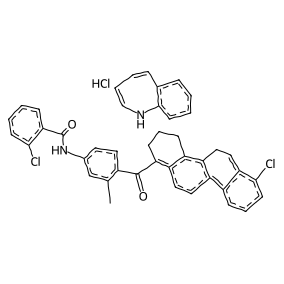 C1=CNc2ccccc2C=C1.Cc1cc(NC(=O)c2ccccc2Cl)ccc1C(=O)C1=c2ccc3c(c2CCC1)CC=c1c(Cl)cccc1=3.Cl